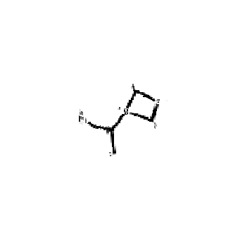 CCC(C)B1CSC1